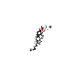 CC(C)CCCCC1CCC2C3CC=C4CC(OC(=O)C(=O)O)CC[C@@]4(C)C3CCC12C